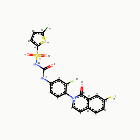 O=C(Nc1ccc(-n2ccc3ccc(S)cc3c2=O)c(F)c1)NS(=O)(=O)c1ccc(Cl)s1